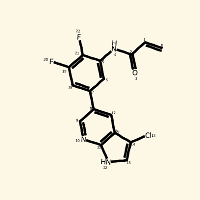 C=CC(=O)Nc1cc(-c2cnc3[nH]cc(Cl)c3c2)cc(F)c1F